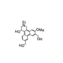 CCN1Cc2c(c3ccc(CO)cc3c3cc(CO)c(OC)cc23)C(O)C1